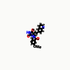 COc1ccc2c(c1)C(=O)N(C[C@@]1(C=Cc3ccc4ncccc4c3)NC(=O)NC1=O)C2